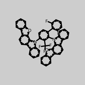 Fc1cccc(F)c1-c1ccc(-n2c3ccccc3c3ccc4c5ccccc5oc4c32)c(C(F)(F)F)c1-n1c2ccccc2c2ccc3c4ccccc4oc3c21